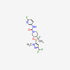 Cn1nc(C(F)F)cc1[S+]([O-])C(C)(F)C1CCN(C(=O)Nc2ccc(F)nc2)CC1